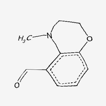 CN1CCOc2cccc(C=O)c21